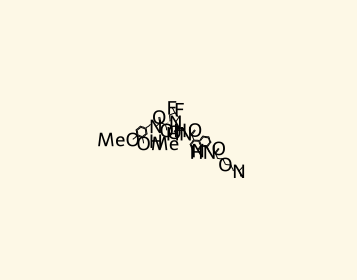 COc1ccc(CNC(=O)C(O)[C@@H]2CC(F)(F)CN2C(=O)CNC(=O)c2ccnc3c(NC(=O)CCOCCN(C)C)cccc23)cc1OC